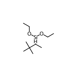 CCO[SiH](OCC)C(C)C(C)(C)C